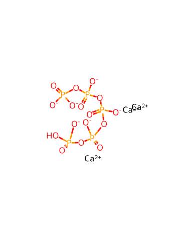 O=P([O-])([O-])OP(=O)([O-])OP(=O)([O-])OP(=O)([O-])OP(=O)([O-])O.[Ca+2].[Ca+2].[Ca+2]